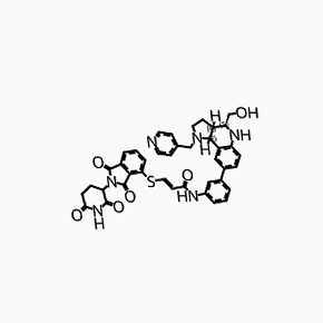 O=C(C=CSc1cccc2c1C(=O)N(C1CCC(=O)NC1=O)C2=O)Nc1cccc(-c2ccc3c(c2)[C@H]2[C@H](CCN2Cc2ccncc2)[C@@H](CO)N3)c1